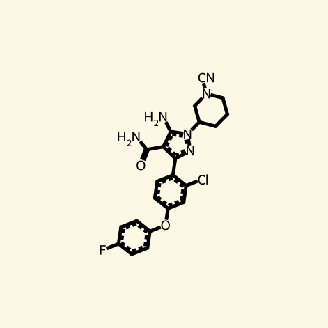 N#CN1CCCC(n2nc(-c3ccc(Oc4ccc(F)cc4)cc3Cl)c(C(N)=O)c2N)C1